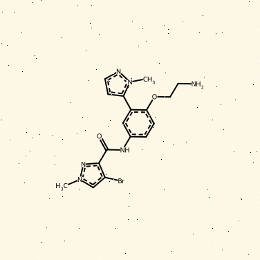 Cn1cc(Br)c(C(=O)Nc2ccc(OCCN)c(-c3ccnn3C)c2)n1